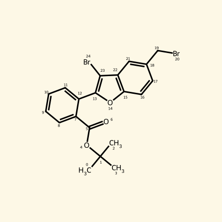 CC(C)(C)OC(=O)c1ccccc1-c1oc2ccc(CBr)cc2c1Br